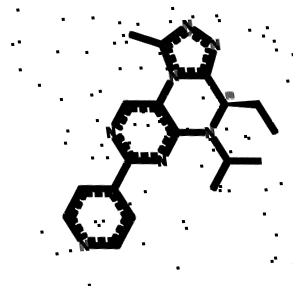 CC[C@@H]1c2nnc(C)n2-c2cnc(-c3ccncc3)nc2N1C(C)C